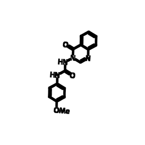 COc1ccc(NC(=O)Nn2cnc3ccccc3c2=O)cc1